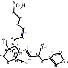 O=C(O)CCC/C=C\C[C@@H]1[C@H](/C=C/C(O)Cc2ccsc2)[C@@H]2CC[C@H]1O2